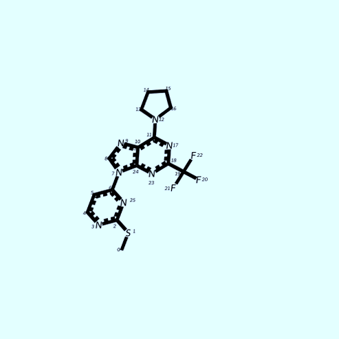 CSc1nccc(-n2cnc3c(N4CCCC4)nc(C(F)(F)F)nc32)n1